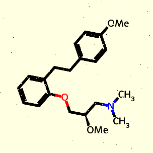 COc1ccc(CCc2ccccc2OC[C@@H](CN(C)C)OC)cc1